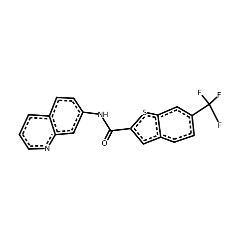 O=C(Nc1ccc2cccnc2c1)c1cc2ccc(C(F)(F)F)cc2s1